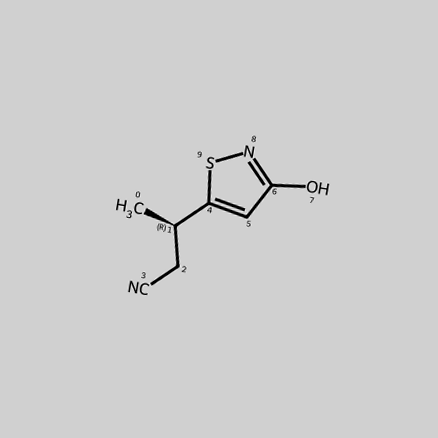 C[C@H](CC#N)c1cc(O)ns1